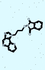 O=C1c2ccccc2C(=O)N1OCCCn1cnc2cnc3cccnc3c21